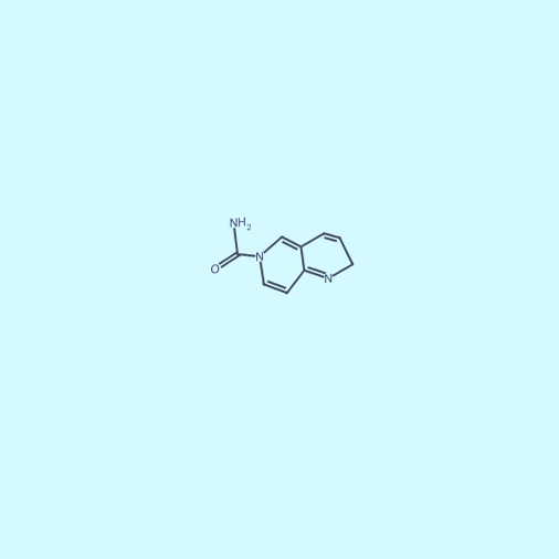 NC(=O)N1C=CC2=NCC=CC2=C1